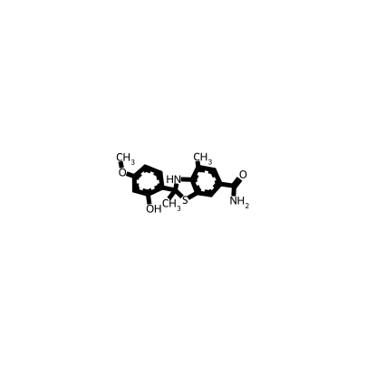 COc1ccc(C2(C)Nc3c(C)cc(C(N)=O)cc3S2)c(O)c1